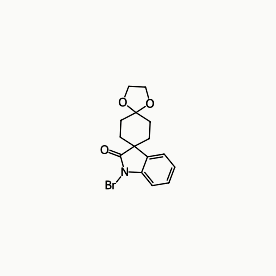 O=C1N(Br)c2ccccc2C12CCC1(CC2)OCCO1